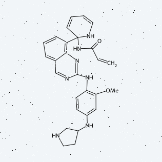 C=CC(=O)NC1(c2cccc3cnc(Nc4ccc(NC5CCNC5)cc4OC)nc23)C=CC=CN1